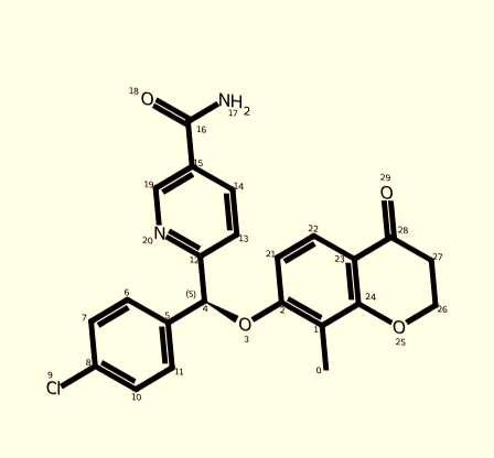 Cc1c(O[C@@H](c2ccc(Cl)cc2)c2ccc(C(N)=O)cn2)ccc2c1OCCC2=O